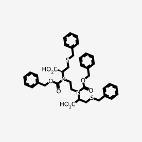 O=C(O)C(CSCc1ccccc1)N(CCN(C(=O)OCc1ccccc1)[C@H](CSCc1ccccc1)C(=O)O)C(=O)OCc1ccccc1